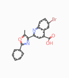 Cc1oc(-c2ccccc2)nc1-c1cc(C(=O)O)c2cc(Br)ccc2n1